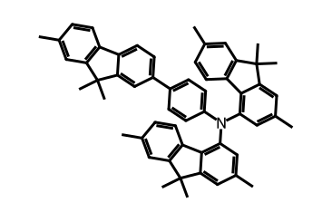 Cc1ccc2c(c1)C(C)(C)c1cc(-c3ccc(N(c4cc(C)cc5c4-c4ccc(C)cc4C5(C)C)c4cc(C)cc5c4-c4ccc(C)cc4C5(C)C)cc3)ccc1-2